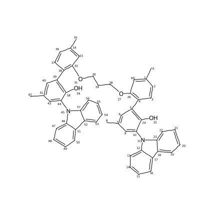 Cc1ccc(-c2cc(C)cc(-n3c4ccccc4c4ccccc43)c2O)c(OCCCOc2cc(C)ccc2-c2cc(C)cc(-n3c4ccccc4c4ccccc43)c2O)c1